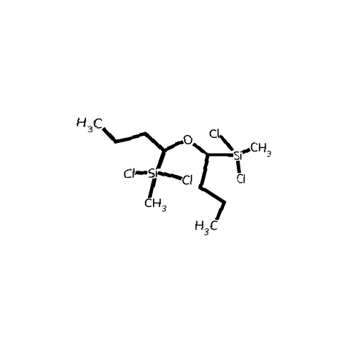 CCCC(OC(CCC)[Si](C)(Cl)Cl)[Si](C)(Cl)Cl